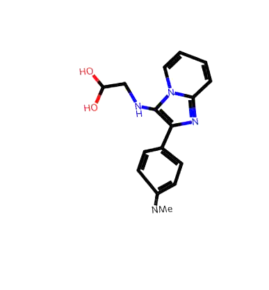 CNc1ccc(-c2nc3ccccn3c2NCC(O)O)cc1